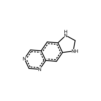 c1ncc2cc3c(cc2n1)NCN3